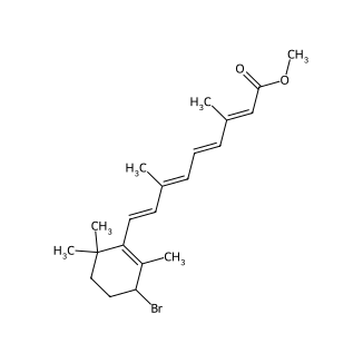 COC(=O)/C=C(C)/C=C/C=C(C)/C=C/C1=C(C)C(Br)CCC1(C)C